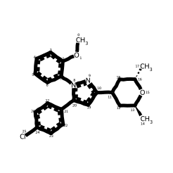 COc1ccccc1-n1nc(C2C[C@H](C)O[C@@H](C)C2)cc1-c1ccc(Cl)cc1